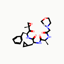 C[C@H](NC(=O)CN1CCOCC1)C(=O)N[C@@H](CC1CC1)C(=O)N[C@@H](Cc1ccccc1)C(=O)[C@]1(C)CO1